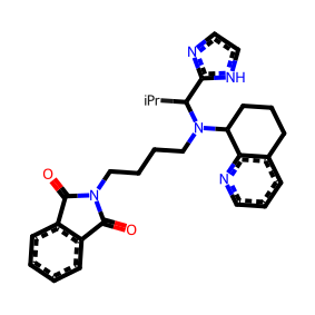 CC(C)C(c1ncc[nH]1)N(CCCCN1C(=O)c2ccccc2C1=O)C1CCCc2cccnc21